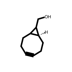 OCC1C2CCC#CCC[C@H]12